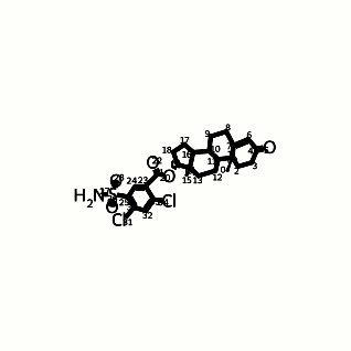 C[C@]12CCC(=O)C=C1CCC1C2CC[C@@]2(C)C1CC[C@@H]2OC(=O)c1cc(S(N)(=O)=O)c(Cl)cc1Cl